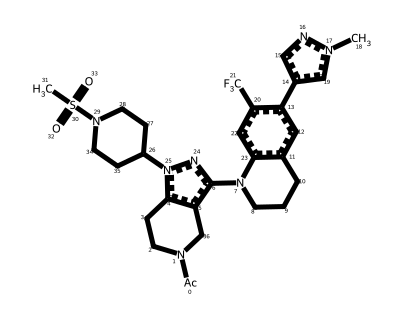 CC(=O)N1CCc2c(c(N3CCCc4cc(-c5cnn(C)c5)c(C(F)(F)F)cc43)nn2C2CCN(S(C)(=O)=O)CC2)C1